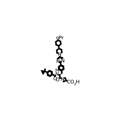 CCCC1CCC(C2CCN(c3cnc(-c4ccc(C[C@H](NC(=O)c5ccc(C6(C)CC6)cc5)C(=O)N5CC(C(=O)O)C5)cc4)nc3)CC2)CC1